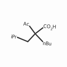 CCCCC(CC(C)C)(C(C)=O)C(=O)O